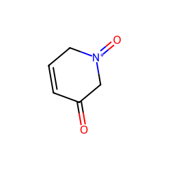 O=C1C=CC[N+](=O)C1